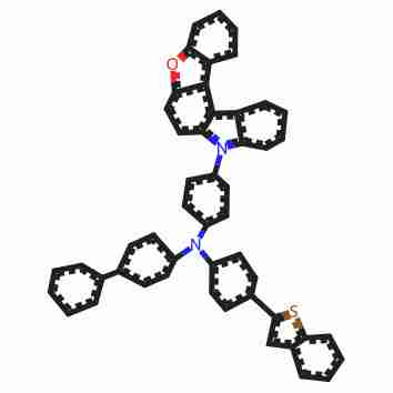 c1ccc(-c2ccc(N(c3ccc(-c4cc5ccccc5s4)cc3)c3ccc(-n4c5ccccc5c5c6c(ccc54)oc4ccccc46)cc3)cc2)cc1